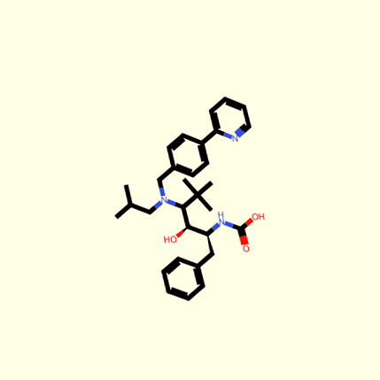 CC(C)CN(Cc1ccc(-c2ccccn2)cc1)C([C@H](O)[C@H](Cc1ccccc1)NC(=O)O)C(C)(C)C